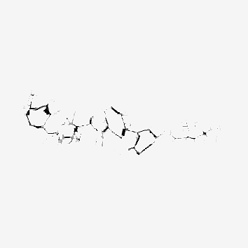 CC(C)(O)CCCOc1ccc(C(F)(F)F)c(-c2ccnc(NC(=O)c3nnc(Cc4ccc(F)cc4)[nH]3)c2)c1